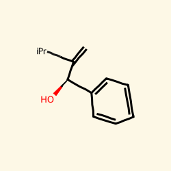 C=C(C(C)C)[C@H](O)c1ccccc1